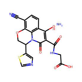 N.N#Cc1ccc2c(O)c(C(=O)NCC(=O)O)c(=O)n3c2c1OCC3c1cncs1